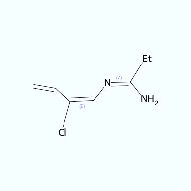 C=C/C(Cl)=C\N=C(/N)CC